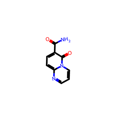 NC(=O)c1ccc2ncccn2c1=O